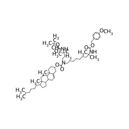 COc1ccc(COC(=O)NC(C)(C)CCCCCCCN(CCC(C)(C)NC(=O)OC(C)(C)C)C(=O)OC2CCC3(C)C(=CCC4C3CCC3(C)C(CCCCC(C)C)CCC43)C2)cc1